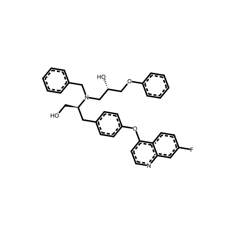 OC[C@H](Cc1ccc(Oc2ccnc3cc(F)ccc23)cc1)N(Cc1ccccc1)C[C@H](O)COc1ccccc1